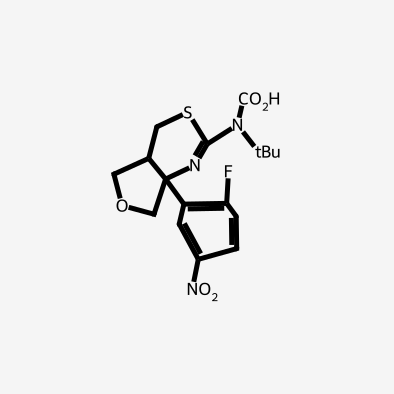 CC(C)(C)N(C(=O)O)C1=NC2(c3cc([N+](=O)[O-])ccc3F)COCC2CS1